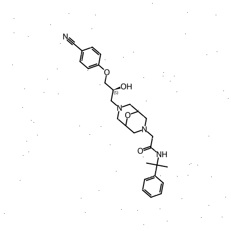 CC(C)(NC(=O)CN1CC2CN(C[C@H](O)COc3ccc(C#N)cc3)CC(C1)O2)c1ccccc1